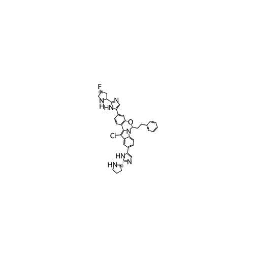 F[C@H]1CNC(c2ncc(-c3ccc4c(c3)OC(CCc3ccccc3)n3c-4c(Cl)c4cc(-c5cnc([C@@H]6CCCN6)[nH]5)ccc43)[nH]2)C1